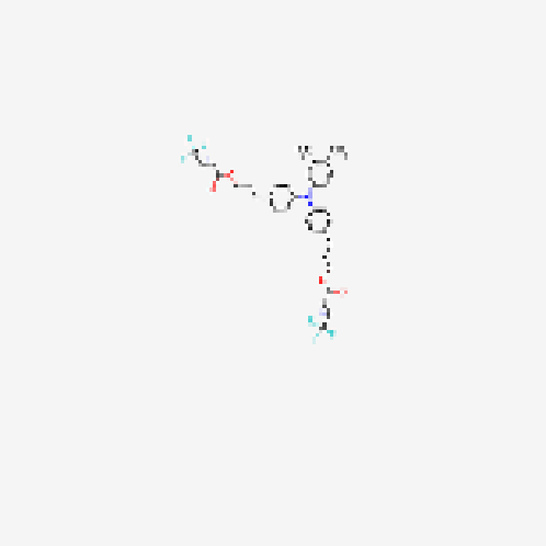 Cc1ccc(N(c2ccc(CCCOC(=O)/C=C/C(F)(F)F)cc2)c2ccc(CCCOC(=O)/C=C/C(F)(F)F)cc2)cc1C